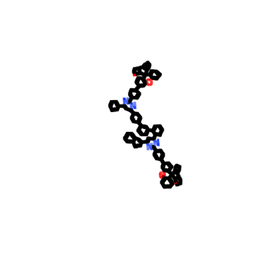 c1ccc(-c2cc(-c3ccc(-c4cccc(-c5ccccc5-c5cc(-c6ccc7ccccc7c6)nc(-c6ccc(-c7ccc8c(c7)Oc7ccccc7C87c8ccccc8-c8ccccc87)cc6)n5)c4)cc3)nc(-c3ccc(-c4ccc5c(c4)Oc4ccccc4C54c5ccccc5-c5ccccc54)cc3)n2)cc1